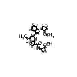 CNc1cc(-c2cn([C@H]3COC[C@@H]3OC)c3ccccc23)nc2c(C(=O)NC3CC[C@@H]3OC)cnn12